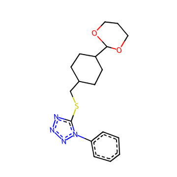 c1ccc(-n2nnnc2SCC2CCC(C3OCCCO3)CC2)cc1